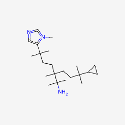 Cn1cncc1C(C)(C)CCC(C)(CCC(C)(C)C1CC1)C(C)(C)N